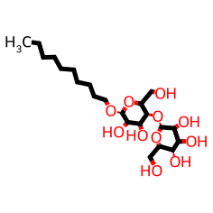 CCCCCCCCCCO[C@@H]1OC(CO)[C@@H](O[C@H]2OC(CO)[C@@H](O)C(O)C2O)C(O)C1O